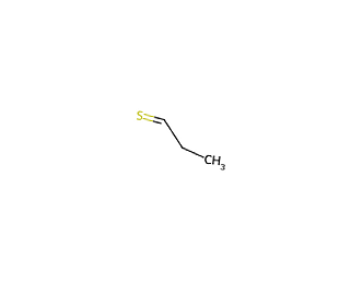 CCC=S